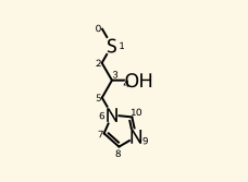 CSCC(O)Cn1ccnc1